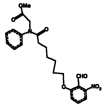 COC(=O)CN(C(=O)CCCCCCOc1cccc([N+](=O)[O-])c1C=O)c1ccccc1